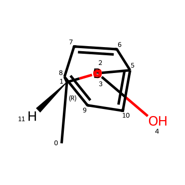 C[C@H]1OB(O)c2ccc1cc2